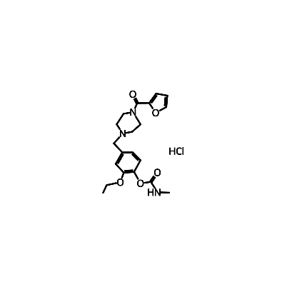 CCOc1cc(CN2CCN(C(=O)c3ccco3)CC2)ccc1OC(=O)NC.Cl